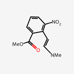 CN/C=C/c1c(C(=O)OC)cccc1[N+](=O)[O-]